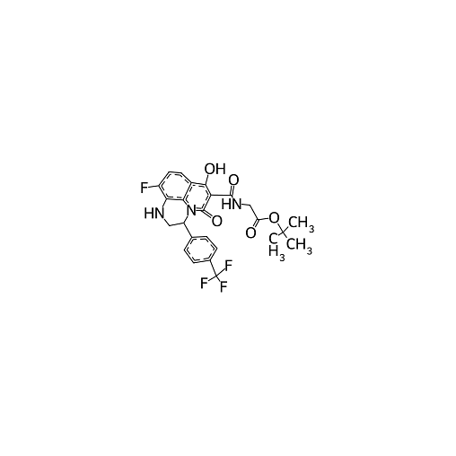 CC(C)(C)OC(=O)CNC(=O)c1c(O)c2ccc(F)c3c2n(c1=O)C(c1ccc(C(F)(F)F)cc1)CN3